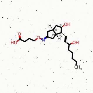 CCCCCC(O)C=C[C@@H]1[C@@H]2CC(=NOCCCC(=O)O)C[C@H]2C[C@H]1O